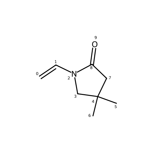 C=CN1CC(C)(C)CC1=O